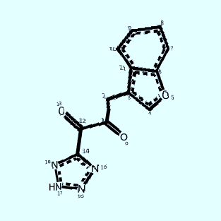 O=C(Cc1coc2ccccc12)C(=O)c1nn[nH]n1